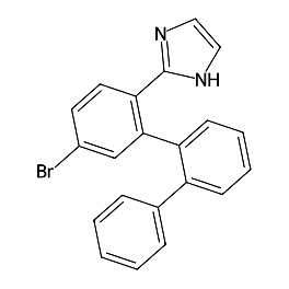 Brc1ccc(-c2ncc[nH]2)c(-c2ccccc2-c2ccccc2)c1